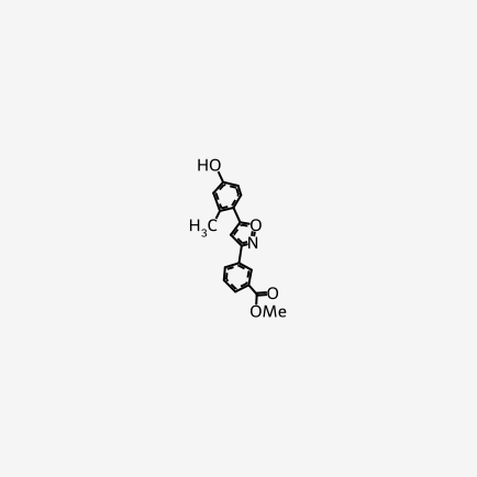 COC(=O)c1cccc(-c2cc(-c3ccc(O)cc3C)on2)c1